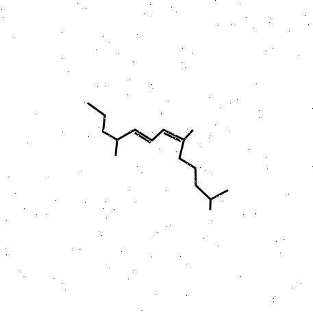 [CH2]CCC(C)C=CC=C(C)CCCC(C)C